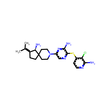 CC(C)=C1CCC2(CCN(c3cnc(Sc4ccnc(N)c4Cl)c(N)n3)CC2)[C@@H]1N